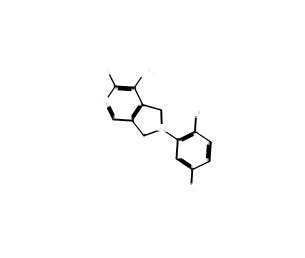 N#Cc1c(N)ncc2c1CN(c1cc(Br)ccc1Br)C2